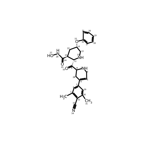 Cc1cc(C2=CCNC(C(=O)[C@H]3NC[C@@H](Oc4ccccc4)C[C@@H]3C(=O)NO)C2)cc(C)c1C#N